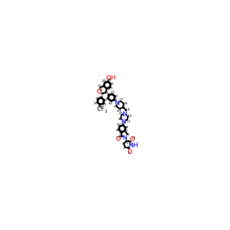 O=C1CC[C@H](N2Cc3cc(N4CCN(CC5CCN(c6ccc([C@H]7c8ccc(O)cc8CO[C@H]7c7ccc(C(F)(F)F)cc7)cc6)CC5)CC4)ccc3C2=O)C(=O)N1